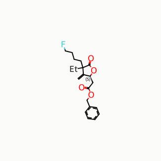 C=C1[C@H](CC(=O)OCc2ccccc2)OC(=O)C1(CC)CCCCF